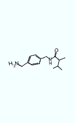 CC(C)C(C)C(=O)NCc1ccc(CN)cc1